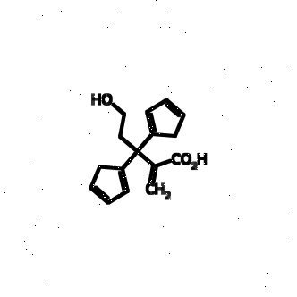 C=C(C(=O)O)C(CCO)(C1=CC=CC1)C1=CC=CC1